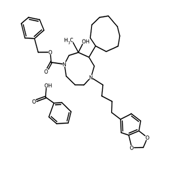 CC1(O)CN(C(=O)OCc2ccccc2)CCCN(CCCCc2ccc3c(c2)OCO3)CC1C1CCCCCCCC1.O=C(O)c1ccccc1